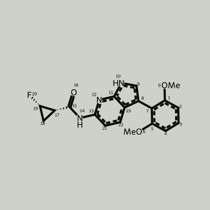 COc1cccc(OC)c1-c1c[nH]c2nc(NC(=O)[C@@H]3C[C@@H]3F)ccc12